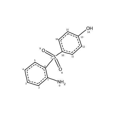 Nc1ccccc1S(=O)(=O)c1ccc(O)cc1